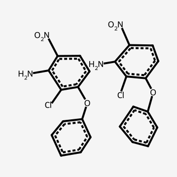 Nc1c([N+](=O)[O-])ccc(Oc2ccccc2)c1Cl.Nc1c([N+](=O)[O-])ccc(Oc2ccccc2)c1Cl